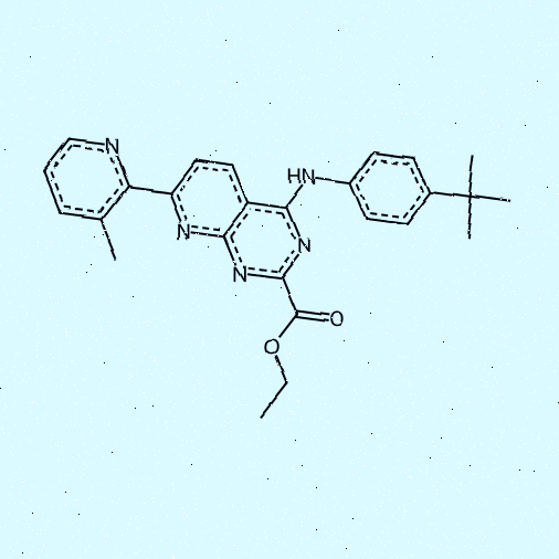 CCOC(=O)c1nc(Nc2ccc(C(C)(C)C)cc2)c2ccc(-c3ncccc3C)nc2n1